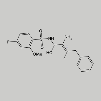 COc1cc(F)ccc1S(=O)(=O)NC(O)/C(N)=C(\C)Cc1ccccc1